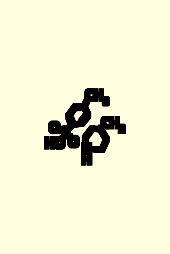 C=C1CCNCC1.Cc1ccc(S(=O)(=O)O)cc1